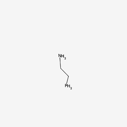 NCCP